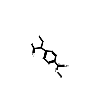 CCC(C(C)=O)c1ccc(C(=O)OC)cc1